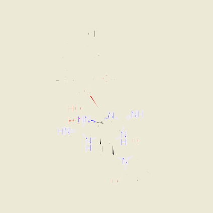 N=C1N[C@H]2[C@H](CN3C(=O)CSCC3=O)NC(=N)N3C[C@H](OC(=O)c4cc(C(F)(F)F)ccc4C(F)(F)F)C(O)(O)[C@]23N1